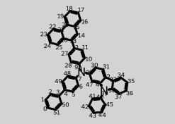 c1ccc(-c2ccc(N(c3ccc(-c4cc5ccccc5c5ccccc45)cc3)c3ccc4c5ccccc5n(-c5ccccc5)c4c3)cc2)cc1